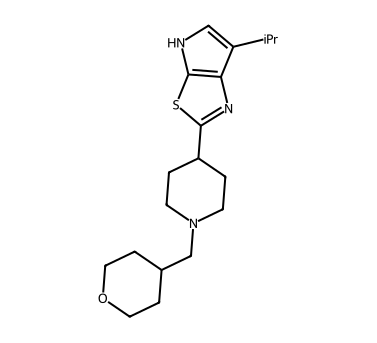 CC(C)c1c[nH]c2sc(C3CCN(CC4CCOCC4)CC3)nc12